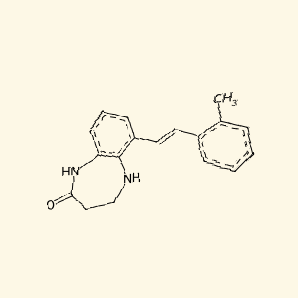 Cc1ccccc1/C=C/c1cccc2c1NCCC(=O)N2